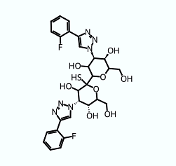 OCC1OC(C2(S)OC(CO)[C@H](O)[C@H](n3cc(-c4ccccc4F)nn3)C2O)C(O)[C@@H](n2cc(-c3ccccc3F)nn2)[C@H]1O